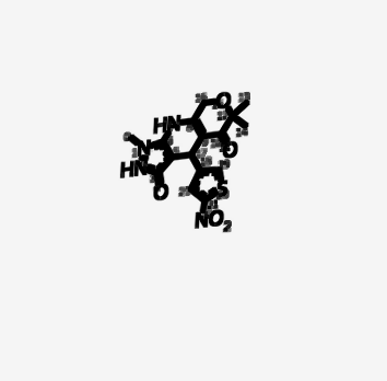 Cn1[nH]c(=O)c2c1NC1=C(C(=O)C(C)(C)OC1)C2c1csc([N+](=O)[O-])c1